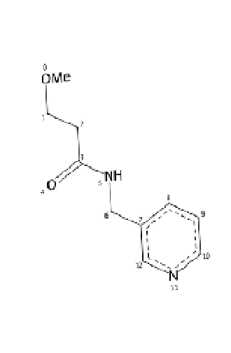 COCCC(=O)NCc1cccnc1